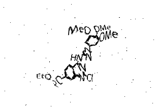 CCOC(=O)c1ccc2c(Nc3cn(-c4cc(OC)c(OC)c(OC)c4)cn3)nc(Cl)nc2c1